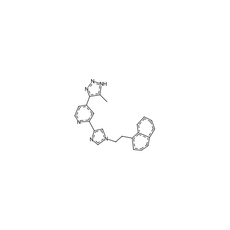 Cc1[nH]nnc1-c1ccnc(-c2cn(CCc3cccc4ccccc34)cn2)c1